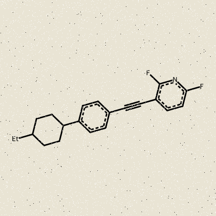 CCC1CCC(c2ccc(C#Cc3ccc(F)nc3F)cc2)CC1